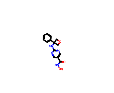 O=C(NO)c1cnc(NC2(c3ccccc3)COC2)nc1